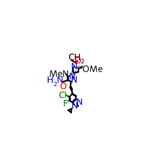 C=CC(=O)N1C[C@@H](n2nc(C#Cc3cc4ncn(C5CC5)c4c(F)c3Cl)c(C(N)=O)c2NC)C/C1=C\OC